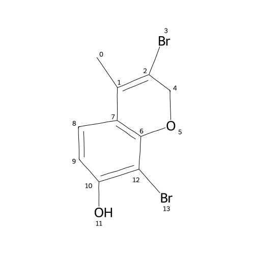 CC1=C(Br)COc2c1ccc(O)c2Br